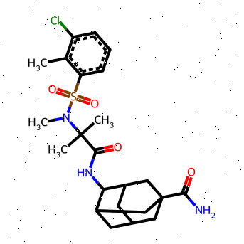 Cc1c(Cl)cccc1S(=O)(=O)N(C)C(C)(C)C(=O)NC1C2CC3CC1CC(C(N)=O)(C3)C2